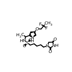 CC(NS(=O)(=O)CCCCCN1CC(=O)NC1=O)c1cc(OCC(C)(F)F)c[nH]1